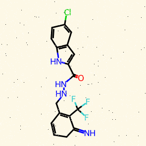 N=C1CC=CC(CNNC(=O)c2cc3cc(Cl)ccc3[nH]2)=C1C(F)(F)F